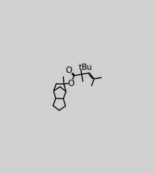 CC(C)=CC(C)(C(=O)OC1(C)CC2CC1C1CCCC21)C(C)(C)C